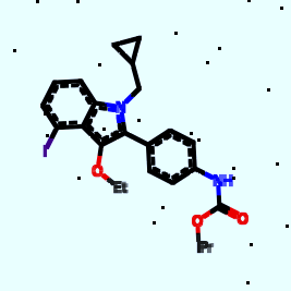 CCOc1c(-c2ccc(NC(=O)OC(C)C)cc2)n(CC2CC2)c2cccc(I)c12